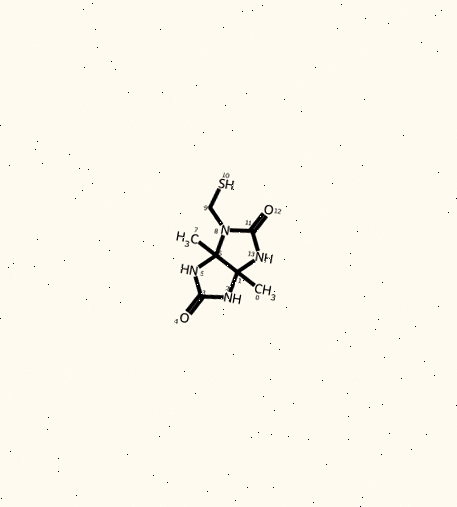 CC12NC(=O)NC1(C)N(CS)C(=O)N2